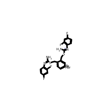 Br.Br.NC(=Nc1ccc(F)cc1F)SCc1ccccc1CS/C(N)=N/c1ccc(F)cc1F